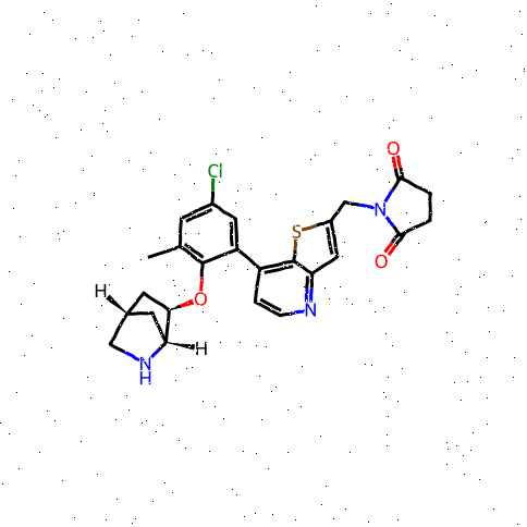 Cc1cc(Cl)cc(-c2ccnc3cc(CN4C(=O)CCC4=O)sc23)c1O[C@@H]1C[C@H]2CN[C@@H]1C2